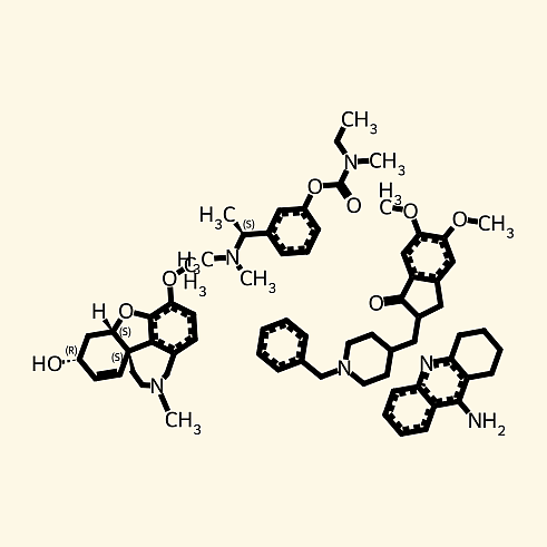 CCN(C)C(=O)Oc1cccc([C@H](C)N(C)C)c1.COc1cc2c(cc1OC)C(=O)C(CC1CCN(Cc3ccccc3)CC1)C2.COc1ccc2c3c1O[C@H]1C[C@@H](O)C=C[C@@]31CCN(C)C2.Nc1c2c(nc3ccccc13)CCCC2